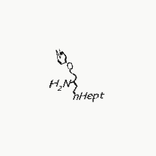 CCCCCCCCCC(N)CCOc1ccncc1